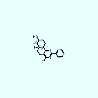 C[C@H]1C(O)CC[C@@]2(C)c3nc(-c4ccncc4)nc(Cl)c3CC[C@H]12